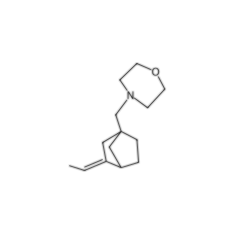 CC=C1CC2(CN3CCOCC3)CCC1C2